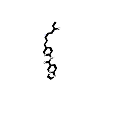 C=C/C(Cl)=C\C=C/CCc1ccc(NC(=O)c2ccc3nccn3c2)nc1